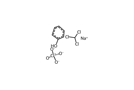 ClC(Cl)Cl.Oc1ccccc1.[Na+].[O-][Cl+3]([O-])([O-])[O-]